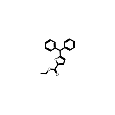 CCOC(=O)c1ccc(C(c2ccccc2)c2ccccc2)o1